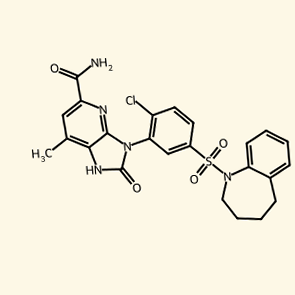 Cc1cc(C(N)=O)nc2c1[nH]c(=O)n2-c1cc(S(=O)(=O)N2CCCCc3ccccc32)ccc1Cl